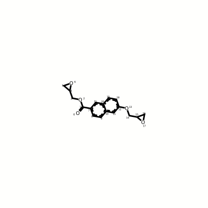 O=C(OCC1CO1)c1ccc2cc(OCC3CO3)ccc2c1